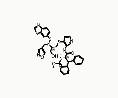 COC(=O)N[C@H](C(=O)Nc1cnccc1SC[C@@H](CO)N(Cc1cnoc1)Sc1ccc2ncsc2c1)C(c1ccccc1)c1ccccc1